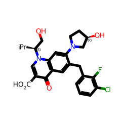 CC(C)[C@@H](CO)n1cc(C(=O)O)c(=O)c2cc(Cc3cccc(Cl)c3F)c(N3CC[C@@H](O)C3)cc21